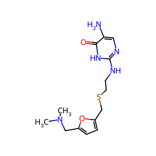 CN(C)Cc1ccc(CSCCNc2ncc(N)c(=O)[nH]2)o1